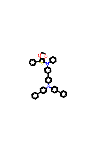 c1ccc(-c2ccc(N(c3ccc(-c4ccccc4)cc3)c3ccc(-c4ccc(N(c5ccccc5)c5sc(-c6ccccc6)c6c5OCCO6)cc4)cc3)cc2)cc1